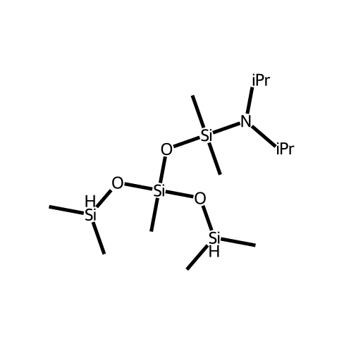 CC(C)N(C(C)C)[Si](C)(C)O[Si](C)(O[SiH](C)C)O[SiH](C)C